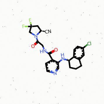 N#C[C@@H]1CC(F)(F)CN1C(=O)CNC(=O)c1ccncc1NC1CCCc2cc(Cl)ccc21